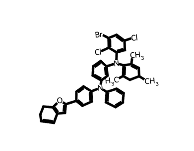 CC1=CC(C)CC(C)=C1N(c1cccc(N(c2ccccc2)c2ccc(-c3cc4c(o3)CCC=C4)cc2)c1)c1cc(Cl)cc(Br)c1Cl